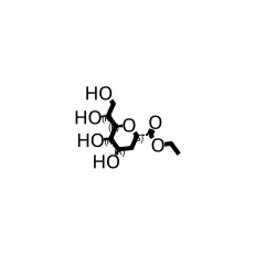 CCOC(=O)[C@@H]1C[C@@H](O)[C@@H](O)[C@@H]([C@H](O)CO)O1